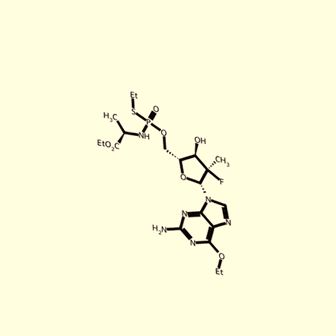 CCOC(=O)[C@@H](C)NP(=O)(OC[C@H]1O[C@@H](n2cnc3c(OCC)nc(N)nc32)[C@](C)(F)[C@@H]1O)SCC